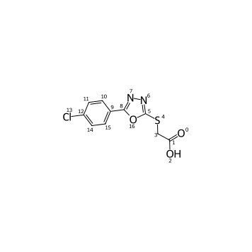 O=C(O)CSc1nnc(-c2ccc(Cl)cc2)o1